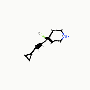 FC1(C#CC2CC2)CCNCC1